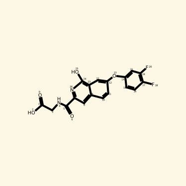 O=C(O)CNC(=O)c1cc2ccc(Oc3ccc(F)c(F)c3)cc2c(O)n1